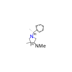 CN[C@@H]1CN([C@H](C)c2ccccc2)CC1(C)C